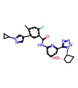 Cc1cc(F)c(C(=O)Nc2cccc(-c3nnnn3[C@H]3CCC[C@@H]3O)n2)cc1-c1cnn(C2CC2)c1